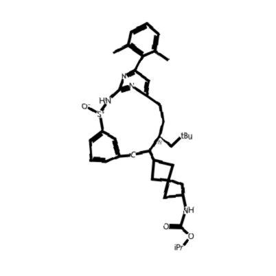 Cc1cccc(C)c1-c1cc2nc(n1)N[S+]([O-])c1cccc(c1)CC(C1CC3(CC(NC(=O)OC(C)C)C3)C1)[C@H](CC(C)(C)C)CC2